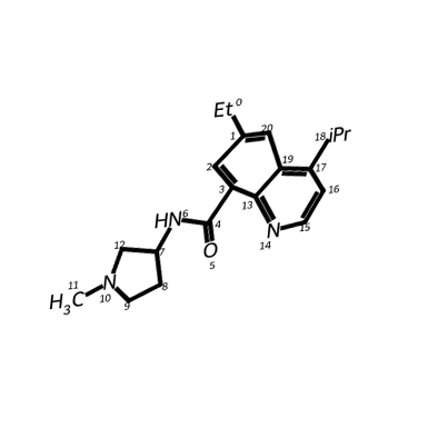 CCc1cc(C(=O)NC2CCN(C)C2)c2nccc(C(C)C)c2c1